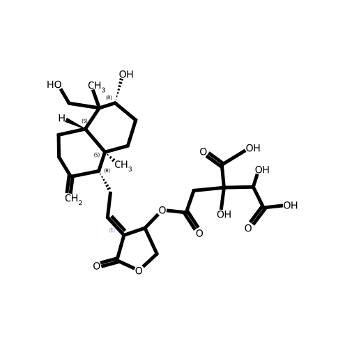 C=C1CC[C@@H]2C(C)(CO)[C@H](O)CC[C@@]2(C)[C@@H]1C/C=C1/C(=O)OCC1OC(=O)CC(O)(C(=O)O)C(O)C(=O)O